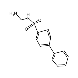 NCNS(=O)(=O)c1ccc(-c2ccccc2)cc1